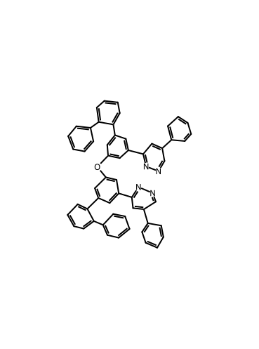 c1ccc(-c2cnnc(-c3cc(Oc4cc(-c5cc(-c6ccccc6)cnn5)cc(-c5ccccc5-c5ccccc5)c4)cc(-c4ccccc4-c4ccccc4)c3)c2)cc1